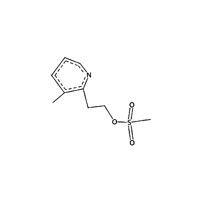 Cc1cccnc1CCOS(C)(=O)=O